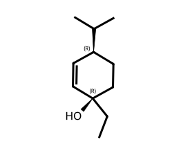 CC[C@]1(O)C=C[C@@H](C(C)C)CC1